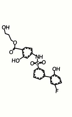 O=C(OCCCO)c1ccc(NS(=O)(=O)c2cccc(-c3cc(F)ccc3O)c2)cc1O